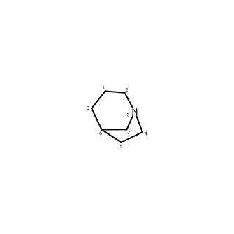 [CH]1CCN2CCC1C2